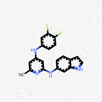 N#Cc1cc(Nc2ccc(F)c(F)c2)cc(Nc2ccc3cc[nH]c3c2)n1